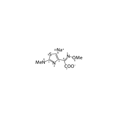 CNc1nc(C(=NOC)C(=O)[O-])cs1.[Na+]